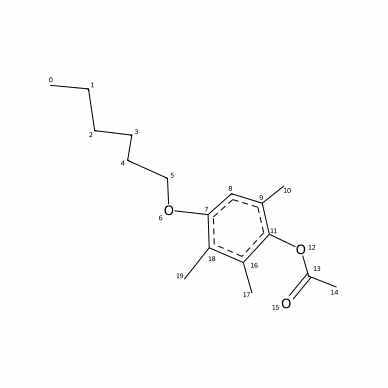 CCCCCCOc1cc(C)c(OC(C)=O)c(C)c1C